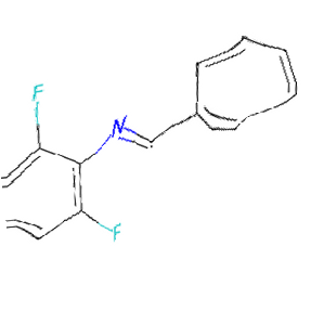 Fc1cccc(F)c1N=[C]c1ccccc1